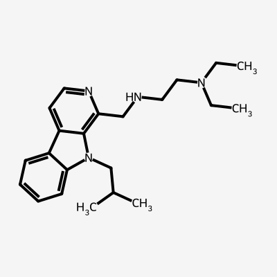 CCN(CC)CCNCc1nccc2c3ccccc3n(CC(C)C)c12